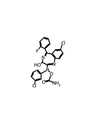 NC(=O)ON(C1=Nc2ccc(Cl)cc2C(c2ccccc2F)=NC1O)c1cccc(Cl)c1